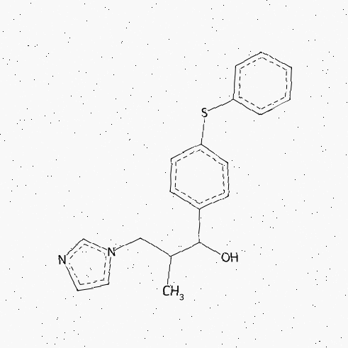 CC(Cn1ccnc1)C(O)c1ccc(Sc2ccccc2)cc1